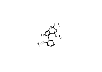 COc1ccccc1-c1[nH]cc2nc(C)nc(N)c12